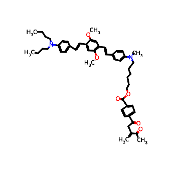 C=C(CC(=O)c1ccc(C(=O)OCCCCCCN(C)c2ccc(/C=C/c3cc(OC)c(/C=C/c4ccc(N(CCCC)CCCC)cc4)cc3OC)cc2)cc1)C(C)=O